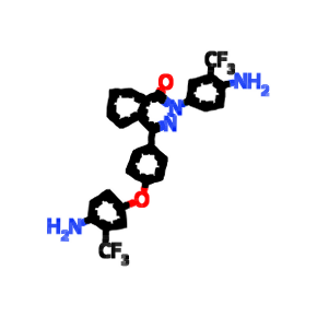 Nc1ccc(Oc2ccc(-c3nn(-c4ccc(N)c(C(F)(F)F)c4)c(=O)c4ccccc34)cc2)cc1C(F)(F)F